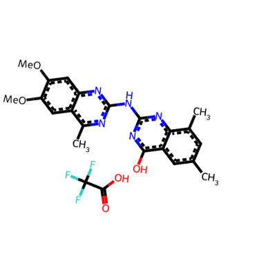 COc1cc2nc(Nc3nc(O)c4cc(C)cc(C)c4n3)nc(C)c2cc1OC.O=C(O)C(F)(F)F